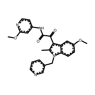 COc1ccc2c(c1)c(C(=O)C(=O)Nc1ccnc(OC)c1)c(C)n2Cc1cccnc1